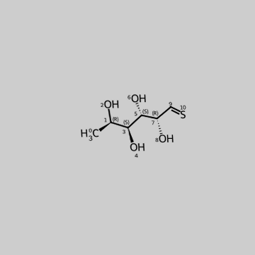 C[C@@H](O)[C@H](O)[C@H](O)[C@@H](O)C=S